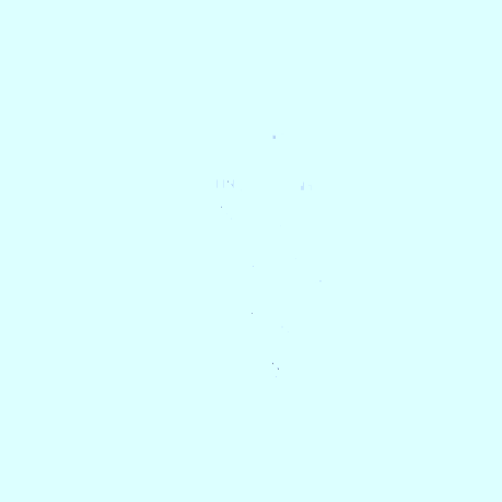 CCCC(CCC)NS(=O)(=O)Cc1cccc(N=O)c1